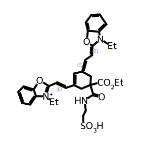 CCOC(=O)C1(C(=O)NCCS(=O)(=O)O)CC(/C=C/c2oc3ccccc3[n+]2CC)=CC(=C/C=C2\Oc3ccccc3N2CC)/C1